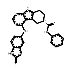 O=C(Nc1ccccc1)[C@H]1CCc2[nH]c3ncnc(Nc4ccc5[nH]c(=O)sc5c4)c3c2C1